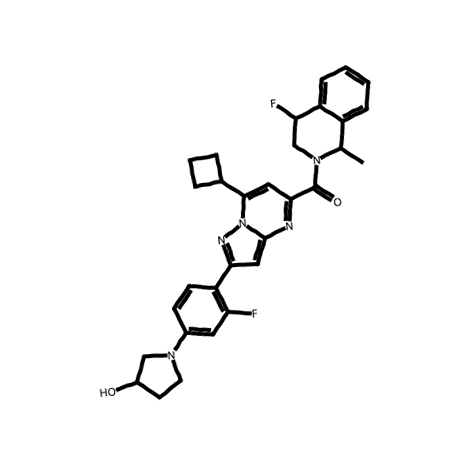 CC1c2ccccc2C(F)CN1C(=O)c1cc(C2CCC2)n2nc(-c3ccc(N4CCC(O)C4)cc3F)cc2n1